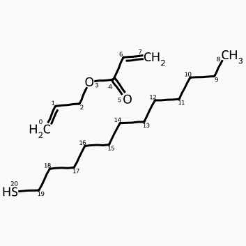 C=CCOC(=O)C=C.CCCCCCCCCCCCS